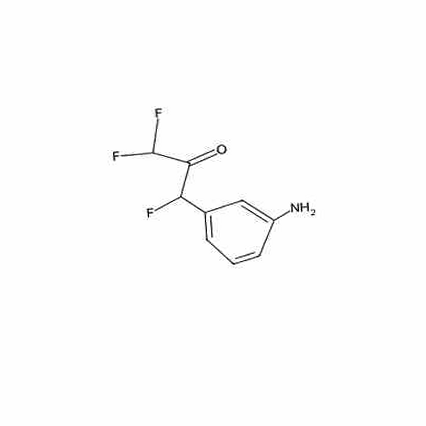 Nc1cccc(C(F)C(=O)C(F)F)c1